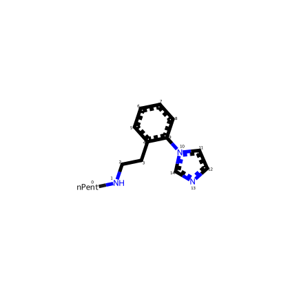 CCCCCNCCc1ccccc1-n1ccnc1